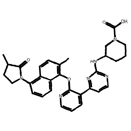 Cc1ccc2c(N3CCC(C)C3=O)cccc2c1Oc1ncccc1-c1ccnc(NC2CCCN(C(=O)O)C2)n1